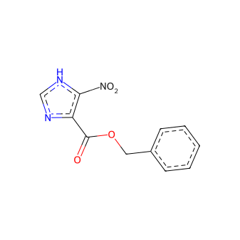 O=C(OCc1ccccc1)c1nc[nH]c1[N+](=O)[O-]